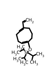 C=C/C1=C/CC/C=C(/O[Si](C(C)C)(C(C)C)C(C)C)CCC1